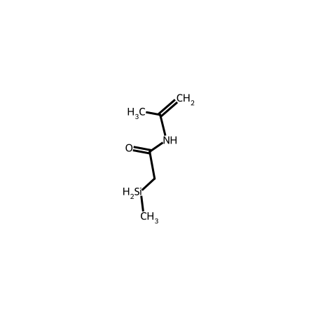 C=C(C)NC(=O)C[SiH2]C